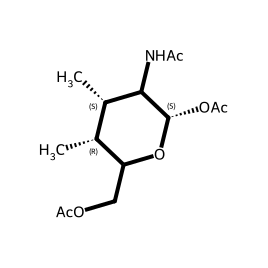 CC(=O)NC1[C@H](OC(C)=O)OC(COC(C)=O)[C@H](C)[C@@H]1C